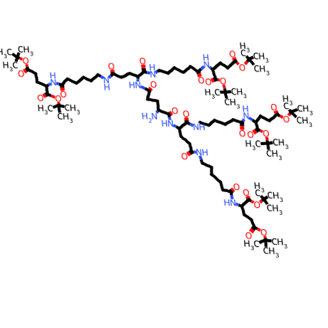 CC(C)(C)OC(=O)CCC(NC(=O)CCCCCNC(=O)CCC(NC(=O)CCC(N)C(=O)NC(CCC(=O)NCCCCCC(=O)NC(CCC(=O)OC(C)(C)C)C(=O)OC(C)(C)C)C(=O)NCCCCCC(=O)NC(CCC(=O)OC(C)(C)C)C(=O)OC(C)(C)C)C(=O)NCCCCCC(=O)NC(CCC(=O)OC(C)(C)C)C(=O)OC(C)(C)C)C(=O)OC(C)(C)C